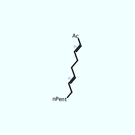 CCCCCC/C=C/CC/C=C/C(C)=O